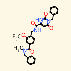 CN(Cc1ccccc1)C(=O)c1ccc(CNC(=O)c2cc(=O)n(Cc3ccccc3)c(=O)[nH]2)c(OC(F)(F)F)c1